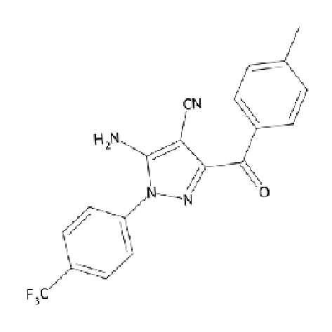 Cc1ccc(C(=O)c2nn(-c3ccc(C(F)(F)F)cc3)c(N)c2C#N)cc1